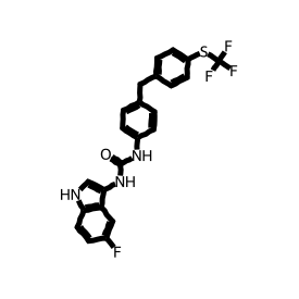 O=C(Nc1ccc(Cc2ccc(SC(F)(F)F)cc2)cc1)Nc1c[nH]c2ccc(F)cc12